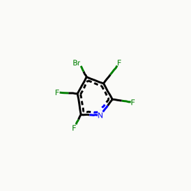 Fc1nc(F)c(F)c(Br)c1F